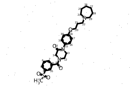 CS(=O)(=O)c1cccc(C(=O)N2CCN(c3ccc(OCCCN4CCCCCC4)cc3)C(=O)C2)c1